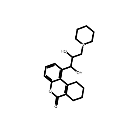 O=c1oc2cccc(C(O)C(O)CN3CCCCC3)c2c2c1CCCC2